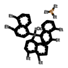 CCCCCCCC[B-](c1ccc(CC)c2c(CC)cccc12)(c1ccc(CC)c2c(CC)cccc12)c1ccc(CC)c2c(CC)cccc12.CC[S+](CC)CC